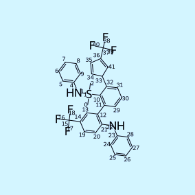 CS(C)(Nc1ccccc1)c1c(-c2cc(C(F)(F)F)ccc2Nc2ccccc2)cccc1C1C=CC(C(F)(F)F)=C1